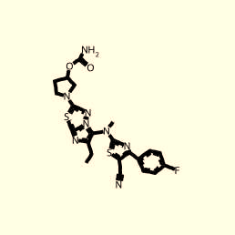 CCc1nc2sc(N3CCC(OC(N)=O)C3)nn2c1N(C)c1nc(-c2ccc(F)cc2)c(C#N)s1